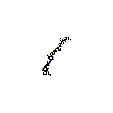 C=CC(=O)OCCOC(=O)CCCOOc1ccc(/C=N/N=C/c2ccc(C)cc2)cc1F